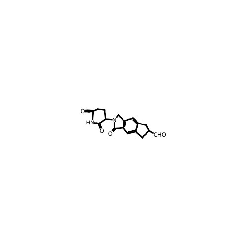 O=CC1Cc2cc3c(cc2C1)C(=O)N(C1CCC(=O)NC1=O)C3